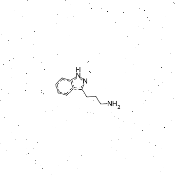 NCCCc1n[nH]c2ccccc12